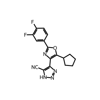 N#Cc1[nH]nnc1-c1nc(-c2ccc(F)c(F)c2)oc1C1CCCC1